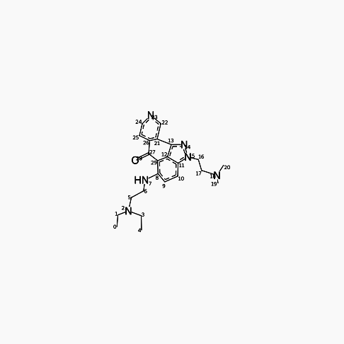 CCN(CC)CCNc1ccc2c3c(nn2CCN(C)C)-c2cnccc2C(=O)c13